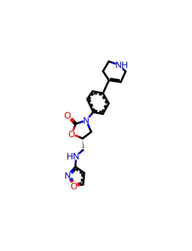 O=C1O[C@@H](CNc2ccon2)CN1c1ccc(C2=CCNCC2)cc1